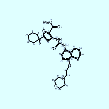 COC(=O)c1oc(C2(C)CCCCC2)cc1NC(=O)Nc1ccc(OCCN2CCOCC2)c2ccccc12